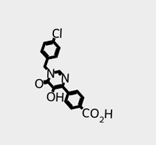 O=C(O)c1ccc(-c2ncn(Cc3ccc(Cl)cc3)c(=O)c2O)cc1